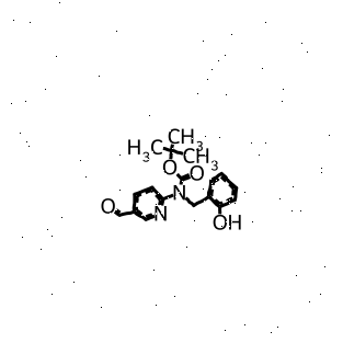 CC(C)(C)OC(=O)N(Cc1ccccc1O)c1ccc(C=O)cn1